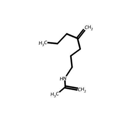 C=C(CCC)CCCNC(=C)C